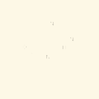 N#CC1(C#N)C(c2ccccc2)C(C(=O)c2ccccc2)N2C=Cc3ccccc3[C@@H]21